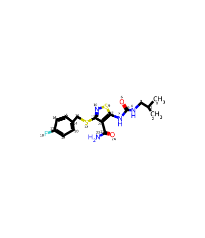 CC(C)CNC(=O)Nc1snc(SCc2ccc(F)cc2)c1C(N)=O